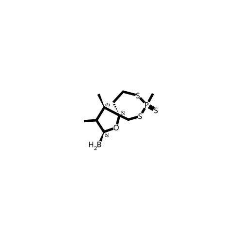 B[C@@H]1O[C@@]2(CCSP(C)(=S)SC2)[C@H](C)C1C